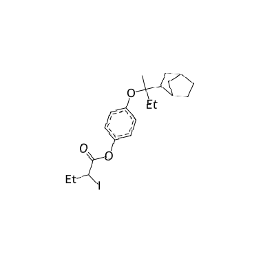 CCC(I)C(=O)Oc1ccc(OC(C)(CC)C2CC3CCC2C3)cc1